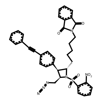 [N-]=[N+]=NC[C@H]1[C@@H](c2ccc(C#Cc3ccccc3)cc2)[C@H](CCCCCN2C(=O)c3ccccc3C2=O)N1S(=O)(=O)c1ccccc1[N+](=O)[O-]